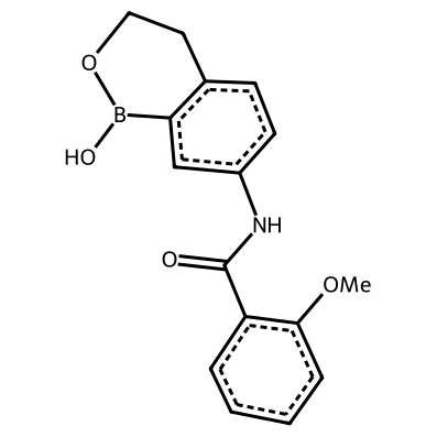 COc1ccccc1C(=O)Nc1ccc2c(c1)B(O)OCC2